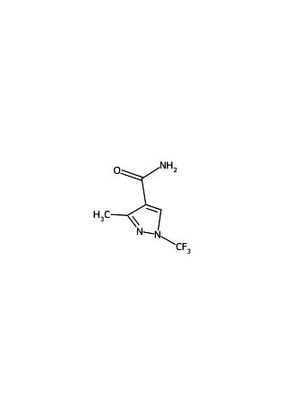 Cc1nn(C(F)(F)F)cc1C(N)=O